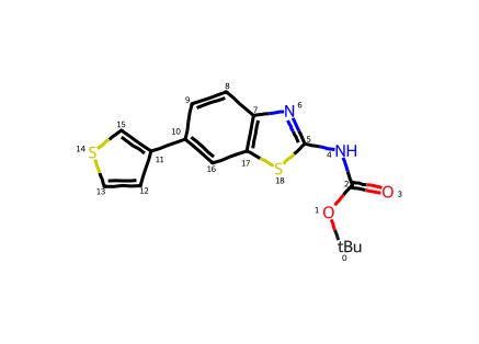 CC(C)(C)OC(=O)Nc1nc2ccc(-c3ccsc3)cc2s1